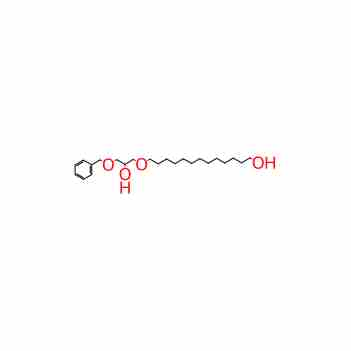 OCCCCCCCCCCCCCOCC(O)COCc1ccccc1